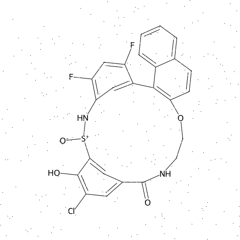 O=C1NCCOc2ccc3ccccc3c2-c2cc(c(F)cc2F)N[S+]([O-])c2cc1cc(Cl)c2O